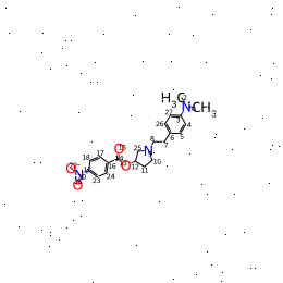 CN(C)c1ccc(CCN2CCC(OC(=O)c3ccc([N+](=O)[O-])cc3)C2)cc1